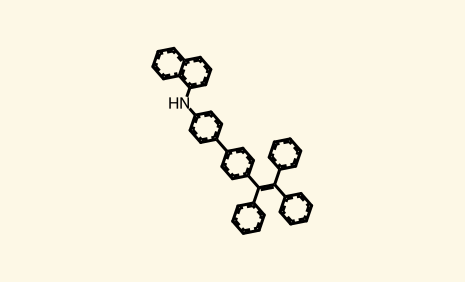 c1ccc(C(=C(c2ccccc2)c2ccc(-c3ccc(Nc4cccc5ccccc45)cc3)cc2)c2ccccc2)cc1